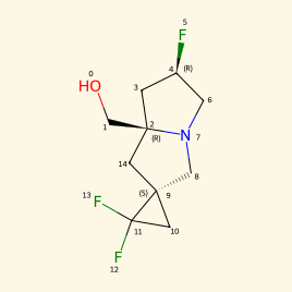 OC[C@@]12C[C@@H](F)CN1C[C@@]1(CC1(F)F)C2